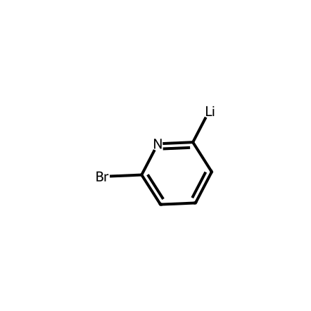 [Li][c]1cccc(Br)n1